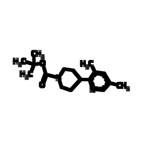 Cc1cnc(C2CCN(C(=O)OC(C)(C)C)CC2)c(C)c1